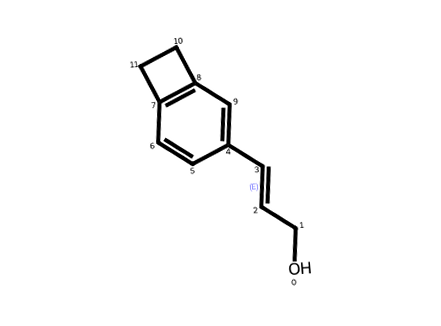 OC/C=C/c1ccc2c(c1)CC2